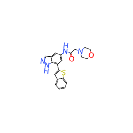 O=C(CN1CCOCC1)Nc1cc(-c2cc3ccccc3s2)c2[nH]ncc2c1